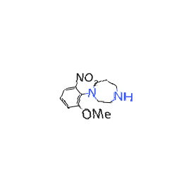 COc1cccc([N+](=O)[O-])c1N1CCCNCC1